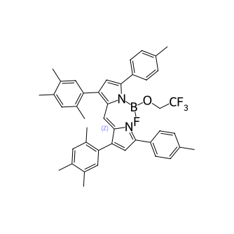 Cc1ccc(C2=N/C(=C\c3c(-c4cc(C)c(C)cc4C)cc(-c4ccc(C)cc4)n3B(F)OCC(F)(F)F)C(c3cc(C)c(C)cc3C)=C2)cc1